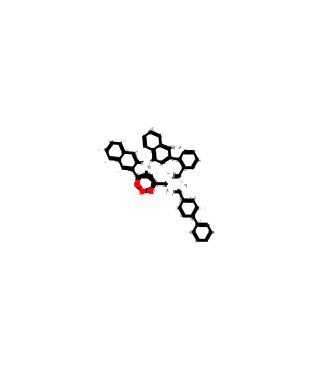 c1ccc(-c2ccc(-c3nc(-c4ccccc4)nc(-c4cccc5oc6c7ccccc7c(-n7c8ccccc8c8cc9ccccc9cc87)cc6c45)n3)cc2)cc1